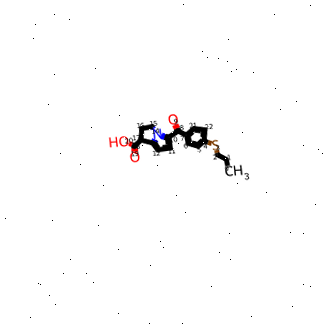 CCCSc1ccc(C(=O)c2ccc3n2CCC3C(=O)O)cc1